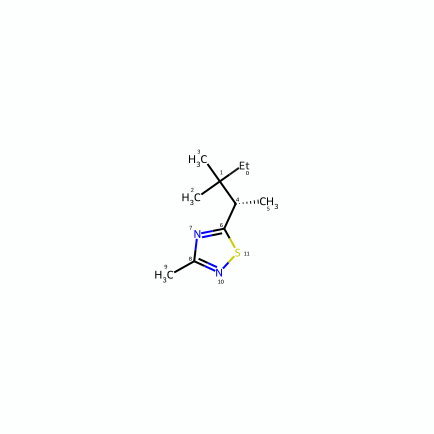 CCC(C)(C)[C@H](C)c1nc(C)ns1